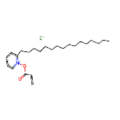 C=CC(=O)O[n+]1ccccc1CCCCCCCCCCCCCCCC.[Cl-]